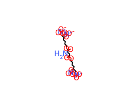 NC(CC(=O)OCCCCC(CO[N+](=O)[O-])O[N+](=O)[O-])C(=O)OCCCCC(CO[N+](=O)[O-])O[N+](=O)[O-]